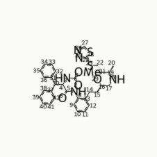 COC(=O)NC(C(=O)Nc1ccccc1CC[C@@H]1CN[C@H](C)[C@@H](CSc2nncs2)O1)C(c1ccccc1)c1ccccc1